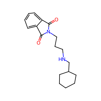 O=C1c2ccccc2C(=O)N1CCCNCC1CCCCC1